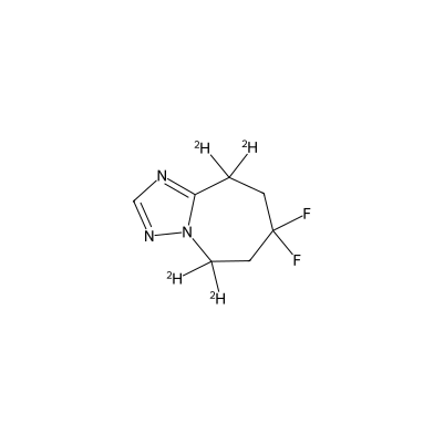 [2H]C1([2H])CC(F)(F)CC([2H])([2H])n2ncnc21